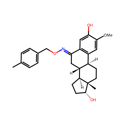 COc1cc2c(cc1O)C(=NOCc1ccc(C)cc1)C[C@@H]1[C@@H]2CC[C@]2(C)[C@H](O)CC[C@@H]12